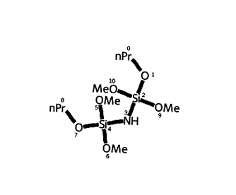 CCCO[Si](N[Si](OC)(OC)OCCC)(OC)OC